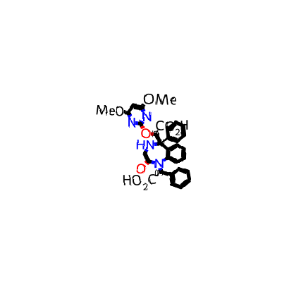 COc1cc(OC)nc(O[C@H](C(=O)O)[C@@]2(c3ccccc3)NCC(=O)N([C@@H](C(=O)O)c3ccccc3)c3ccccc32)n1